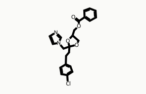 O=C(OCC1COC(CCc2ccc(Cl)cc2)(Cn2ccnc2)O1)c1ccccc1